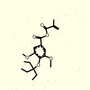 C=C(C)C(=O)OC(=O)c1cc(OC)c(OC(CC)(CC)CC)c(OC)c1